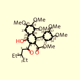 CCC(CC)CC(=O)c1c(C(=O)OC)c(-c2ccc(OC)c(OC)c2)c2c(OC)c(OC)c(OC)cc2c1O